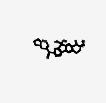 CCCCC1(CCCC)c2cc(C(=O)C(CC3CCCC3)=NOC(C)=O)ccc2-c2cc3c(cc21)C(=O)/C(=N\C(C)=O)CC3